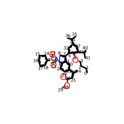 CCCCOc1c(-c2cn(S(=O)(=O)c3ccccc3)c3ccc(/C(C)=C\C(=O)OC)cc23)cc(C(C)C)cc1C(C)C